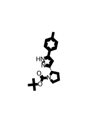 Cc1ccc(-c2cc([C@@H]3CCCN3C(=O)OC(C)(C)C)n[nH]2)cc1